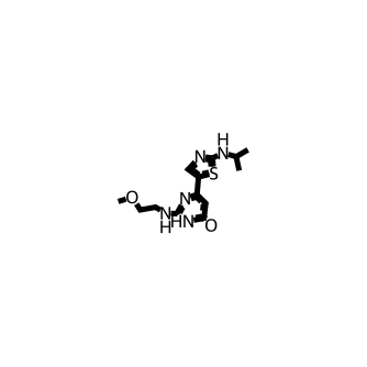 COCCNc1nc(-c2cnc(NC(C)C)s2)cc(=O)[nH]1